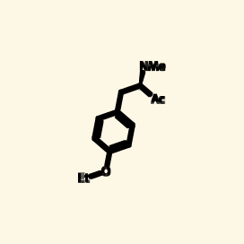 CCOc1ccc(C[C@@H](NC)C(C)=O)cc1